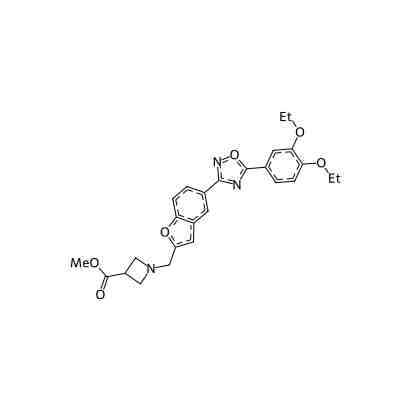 CCOc1ccc(-c2nc(-c3ccc4oc(CN5CC(C(=O)OC)C5)cc4c3)no2)cc1OCC